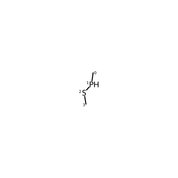 CPSC